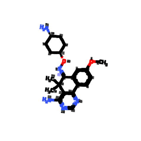 COc1ccc2c(c1)/C(=N\O[C@H]1CC[C@@H](N)CC1)C(C)(C)c1c(N)ncnc1-2